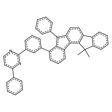 CC1(C)c2ccccc2-c2ccc3c(c21)c1cccc(-c2cccc(-c4nccc(-c5ccccc5)n4)c2)c1n3-c1ccccc1